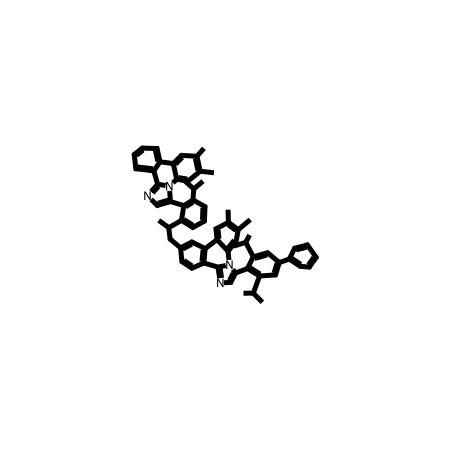 Cc1cc2c3cc(CC(C)c4cccc(C(C)C)c4-c4cnc5c6ccccc6c6cc(C)c(C)cc6n45)ccc3c3ncc(-c4c(C(C)C)cc(-c5ccccc5)cc4C(C)C)n3c2cc1C